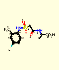 CC(NC(=O)CS(=O)(=O)Nc1ccc(F)cc1C(F)(F)F)C(=O)O